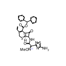 C=CC1=C(C(=O)OC(c2ccccc2)c2ccccc2)N2C(=O)C(NC(=O)/C(=N\OC)c3nsc(N)n3)[C@H]2SC1